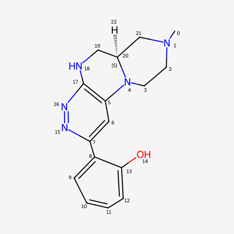 CN1CCN2c3cc(-c4ccccc4O)nnc3NC[C@H]2C1